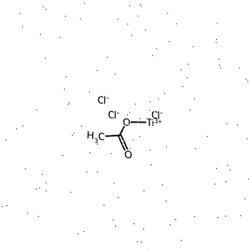 CC(=O)[O][Ti+3].[Cl-].[Cl-].[Cl-]